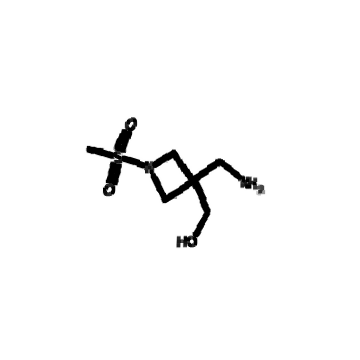 CS(=O)(=O)N1CC(CN)(CO)C1